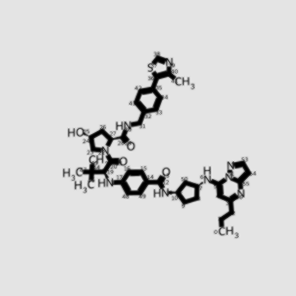 CCCc1cc(N[C@@H]2CC[C@@H](NC(=O)c3ccc(N[C@H](C(=O)N4C[C@H](O)C[C@H]4C(=O)NCc4ccc(-c5scnc5C)cc4)C(C)(C)C)cc3)C2)n2nccc2n1